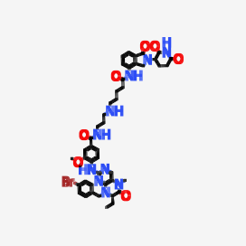 CC[C@@H]1C(=O)N(C)c2cnc(Nc3ccc(C(=O)NCCCNCCCCC(=O)Nc4cccc5c4CN(C4CCC(=O)NC4=O)C5=O)cc3OC)nc2N1Cc1ccc(Br)cc1